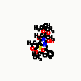 CCOC(=O)c1sc2c(c1C)C(=O)N(C(C)(C)C(=O)OC(C)(C)C)C(O)N2C[C@H](OC(C)C)c1ccccc1